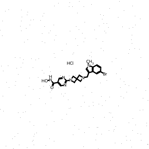 Cl.Cn1cc(CN2CC3(C2)CN(c2ncc(C(=O)NO)cn2)C3)c2cc(Br)ccc21